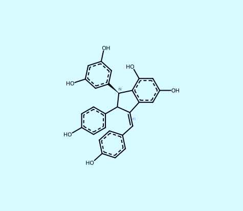 Oc1ccc(/C=C2/c3cc(O)cc(O)c3[C@H](c3cc(O)cc(O)c3)C2c2ccc(O)cc2)cc1